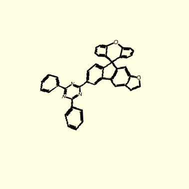 c1ccc(-c2nc(-c3ccccc3)nc(-c3ccc4c(c3)-c3cc5ccoc5cc3C43c4ccccc4Oc4ccccc43)n2)cc1